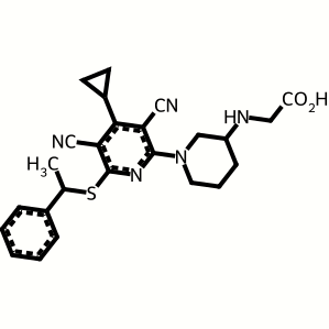 CC(Sc1nc(N2CCCC(NCC(=O)O)C2)c(C#N)c(C2CC2)c1C#N)c1ccccc1